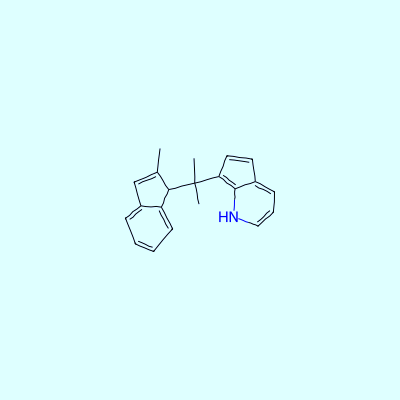 CC1=Cc2ccccc2C1C(C)(C)c1ccc2ccc[nH]c1-2